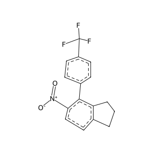 O=[N+]([O-])c1ccc2c(c1-c1ccc(C(F)(F)F)cc1)CCC2